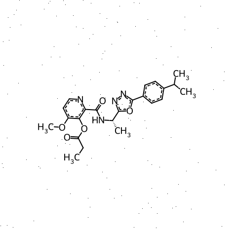 CCC(=O)Oc1c(OC)ccnc1C(=O)N[C@@H](C)c1nnc(-c2ccc(C(C)C)cc2)o1